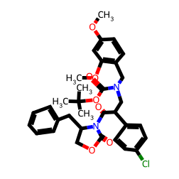 COc1ccc(CN(CC(C(=O)N2C(=O)OCC2Cc2ccccc2)c2ccc(Cl)cc2)C(=O)OC(C)(C)C)c(OC)c1